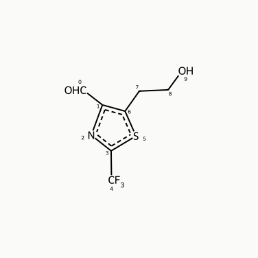 O=Cc1nc(C(F)(F)F)sc1CCO